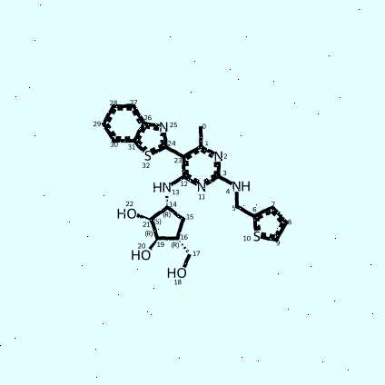 Cc1nc(NCc2cccs2)nc(N[C@@H]2C[C@H](CO)[C@@H](O)[C@H]2O)c1-c1nc2ccccc2s1